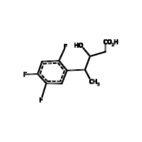 CC(c1cc(F)c(F)cc1F)C(O)CC(=O)O